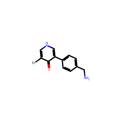 [CH2]Cc1c[nH]cc(-c2ccc(CN)cc2)c1=O